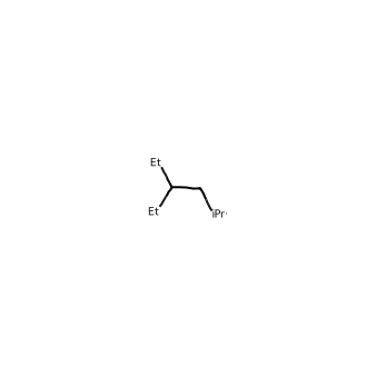 CCC(CC)C[C](C)C